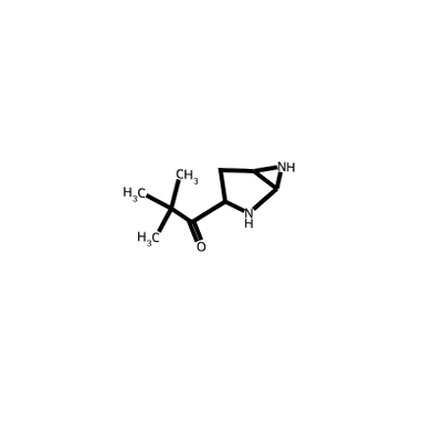 CC(C)(C)C(=O)C1CC2NC2N1